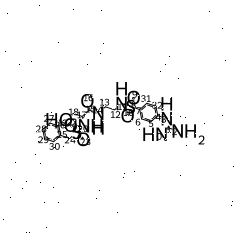 N=C(N)Nc1ccc(S(=O)(=O)NCCNC(=O)C(CO)NS(=O)(=O)Cc2ccccc2)cc1